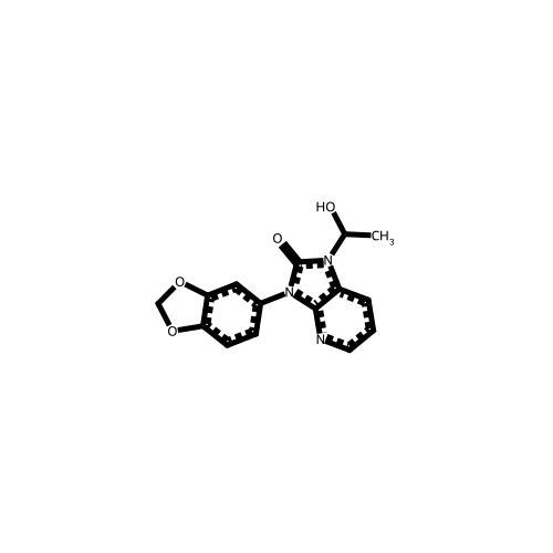 CC(O)n1c(=O)n(-c2ccc3c(c2)OCO3)c2ncccc21